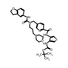 CC(C)(C)OC(=O)Nc1cscc1NC(=O)c1ccc(CN(CCCN2CCOCC2)C(=O)Nc2ccc3c(c2)CCO3)cn1